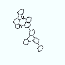 c1ccc(-c2ccc3c4ccc(-c5cccc(-n6ccc7ccc8c9ccccc9n(-c9ccccc9)c8c76)c5)cc4c4ccccc4c3c2)cc1